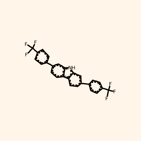 FC(F)(F)c1ccc(-c2ccc3c(c2)[nH]c2cc(-c4ccc(C(F)(F)F)cc4)ccc23)cc1